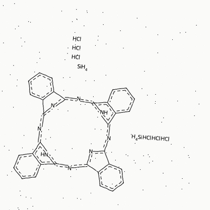 Cl.Cl.Cl.Cl.Cl.Cl.[SiH4].[SiH4].c1ccc2c(c1)-c1nc-2nc2[nH]c(nc3nc(nc4[nH]c(n1)c1ccccc41)-c1ccccc1-3)c1ccccc21